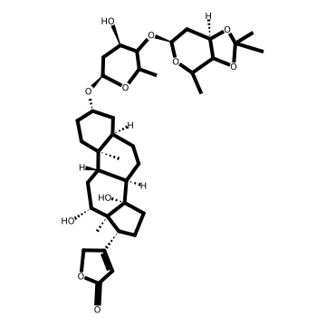 CC1O[C@@H](O[C@H]2CC[C@@]3(C)[C@H](CC[C@@H]4[C@@H]3C[C@@H](O)[C@]3(C)[C@@H](C5=CC(=O)OC5)CC[C@]43O)C2)C[C@@H](O)C1O[C@H]1C[C@H]2OC(C)(C)OC2C(C)O1